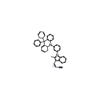 C#C/C=C\c1c(C)n(-c2cccc(N3c4ccccc4C(c4ccccc4)(C4C=CC=CC4)C4=CC=CCC43)c2)c2ccccc12